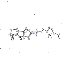 CCc1ccc(CC/C=C/c2ccc3c(c2)SC2C(=O)CCCC32)cc1